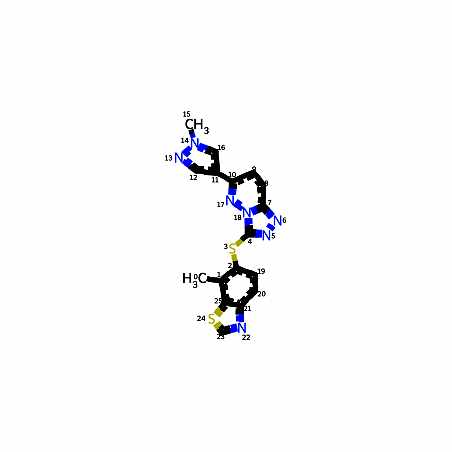 Cc1c(Sc2nnc3ccc(-c4cnn(C)c4)nn23)ccc2ncsc12